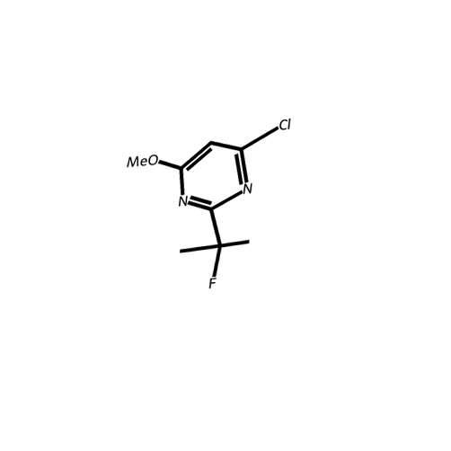 COc1cc(Cl)nc(C(C)(C)F)n1